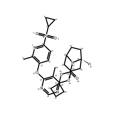 Cc1nc(S(=O)(=O)C2CC2)ccc1Oc1ncnc(O[C@H]2CC3CC[C@@H](C2)N3C(=O)OC2CCC2)c1C